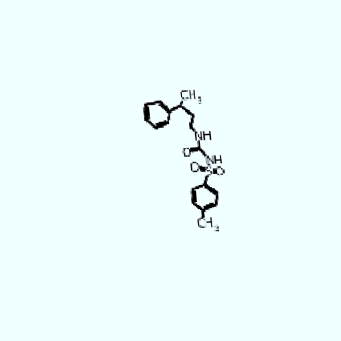 Cc1ccc(S(=O)(=O)NC(=O)NCCC(C)c2ccccc2)cc1